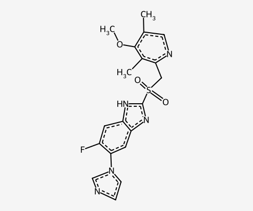 COc1c(C)cnc(CS(=O)(=O)c2nc3cc(-n4ccnc4)c(F)cc3[nH]2)c1C